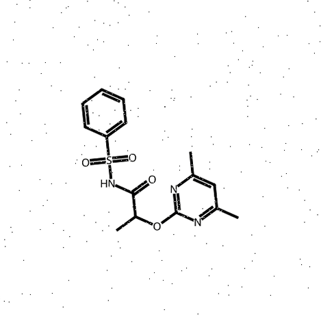 Cc1cc(C)nc(OC(C)C(=O)NS(=O)(=O)c2ccccc2)n1